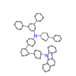 C1=CC(N(c2ccc(-c3ccccc3-c3ccc(-n4c5ccccc5c5ccc6ccccc6c54)cc3)cc2)c2cc(-c3ccccc3)cc(-c3ccccc3)c2)CC=C1c1ccccc1